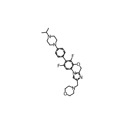 CC(C)N1CCN(c2ccc(-c3c(F)cc4c(c3F)OCc3nc(CN5CCOCC5)cn3-4)cc2)CC1